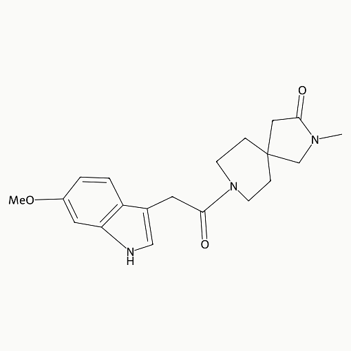 COc1ccc2c(CC(=O)N3CCC4(CC3)CC(=O)N(C)C4)c[nH]c2c1